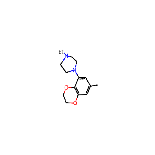 CCN1CCN(c2cc(C)cc3c2OCCO3)CC1